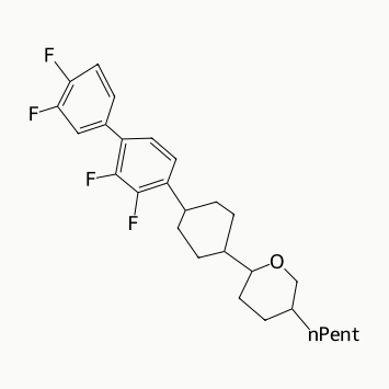 CCCCCC1CCC(C2CCC(c3ccc(-c4ccc(F)c(F)c4)c(F)c3F)CC2)OC1